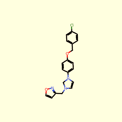 Clc1ccc(COc2ccc(N3C=CN(Cc4ccon4)C3)cc2)cc1